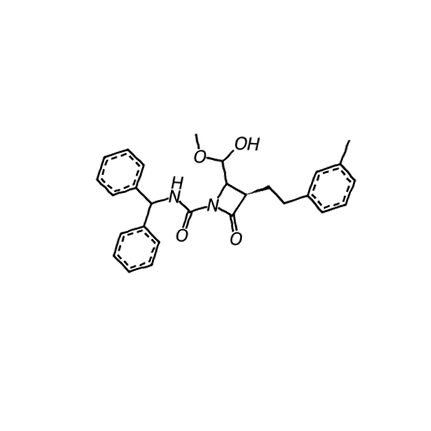 COC(O)C1[C@@H](CCc2cccc(C)c2)C(=O)N1C(=O)NC(c1ccccc1)c1ccccc1